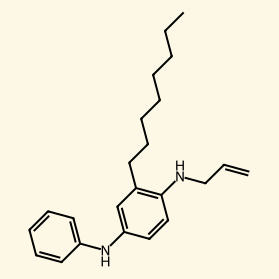 C=CCNc1ccc(Nc2ccccc2)cc1CCCCCCCC